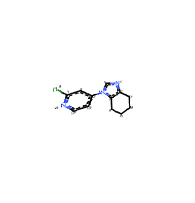 Clc1cc(-n2cnc3c2CCCC3)ccn1